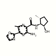 Cc1nc(C(=O)N[C@H]2[C@H](C)CC[C@H]2O)c(N)nc1-c1ncco1